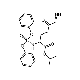 CC(C)OC(=O)C(CCC(=O)C=N)NP(=O)(Oc1ccccc1)Oc1ccccc1